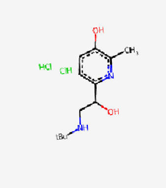 Cc1nc(C(O)CNC(C)(C)C)ccc1O.Cl.Cl